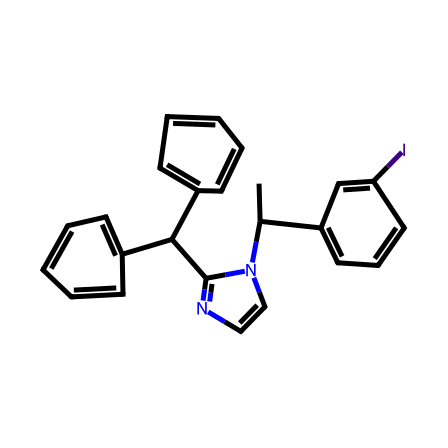 CC(c1cccc(I)c1)n1ccnc1C(c1ccccc1)c1ccccc1